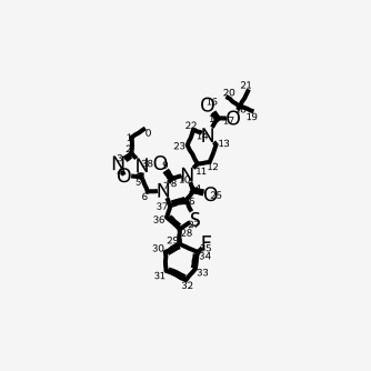 CCc1noc(Cn2c(=O)n(C3CCN(C(=O)OC(C)(C)C)CC3)c(=O)c3sc(-c4ccccc4F)cc32)n1